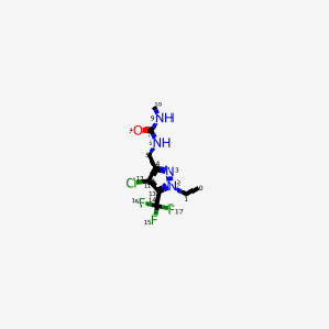 CCn1nc(CNC(=O)NC)c(Cl)c1C(F)(F)F